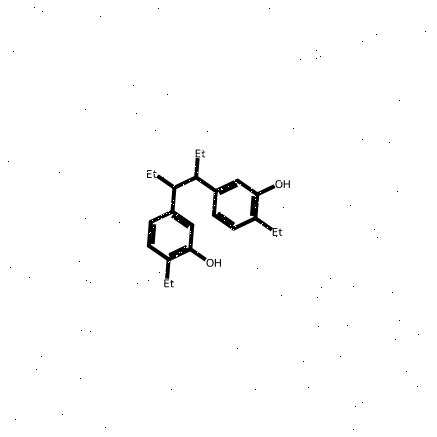 CCc1ccc(C(CC)C(CC)c2ccc(CC)c(O)c2)cc1O